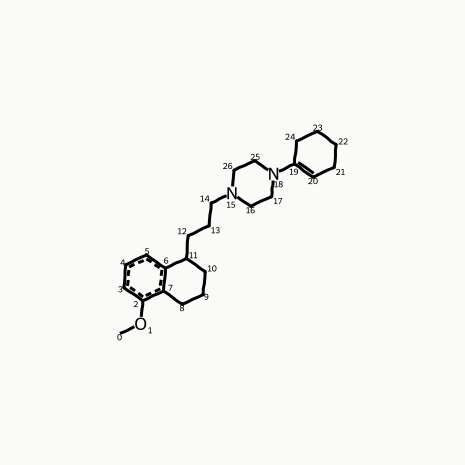 COc1cccc2c1CCCC2CCCN1CCN(C2=CCCCC2)CC1